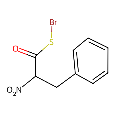 O=C(SBr)C(Cc1ccccc1)[N+](=O)[O-]